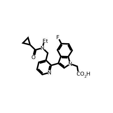 CCN(Cc1cccnc1-c1cn(CC(=O)O)c2ccc(F)cc12)C(=O)C1CC1